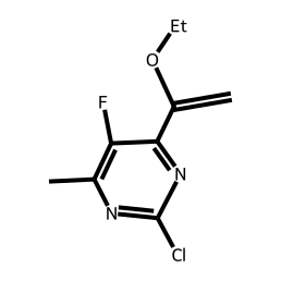 C=C(OCC)c1nc(Cl)nc(C)c1F